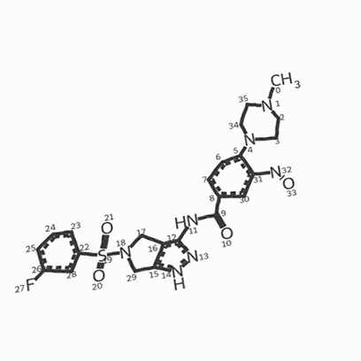 CN1CCN(c2ccc(C(=O)Nc3n[nH]c4c3CN(S(=O)(=O)c3cccc(F)c3)C4)cc2N=O)CC1